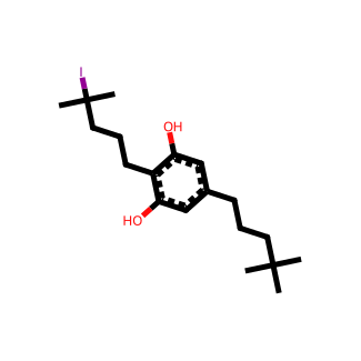 CC(C)(C)CCCc1cc(O)c(CCCC(C)(C)I)c(O)c1